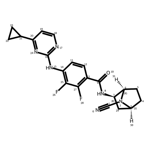 N#CN1[C@H]2CC[C@@H]1[C@H](NC(=O)c1ccc(Nc3nccc(C4CC4)n3)c(F)c1F)C2